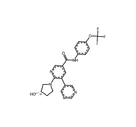 O=C(Nc1ccc(OC(F)(F)I)cc1)c1cnc(N2CC[C@H](O)C2)c(-c2cncnc2)c1